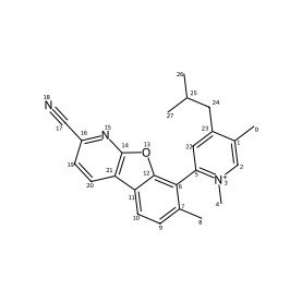 Cc1c[n+](C)c(-c2c(C)ccc3c2oc2nc(C#N)ccc23)cc1CC(C)C